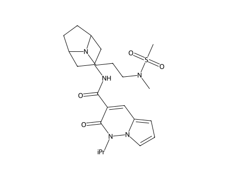 CC(C)n1c(=O)c(C(=O)NC2CC3CCC(C2)N3CCCN(C)S(C)(=O)=O)cc2cccn21